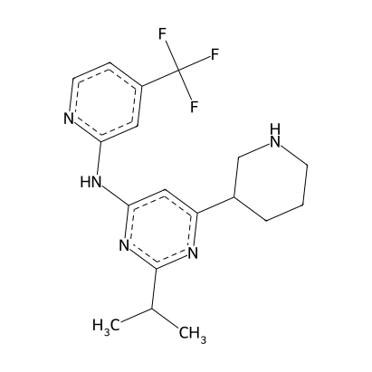 CC(C)c1nc(Nc2cc(C(F)(F)F)ccn2)cc(C2CCCNC2)n1